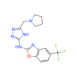 FC(F)(F)c1ccc2oc(Nc3nnc(CN4CCCC4)[nH]3)nc2c1